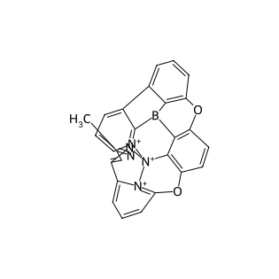 Cc1cc2n(n1)[N+]13c4c(ccc5c4B4c6c(cccc6-c6ccc[n+]1c64)O5)Oc1cccc-2[n+]13